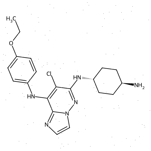 CCOc1ccc(Nc2c(Cl)c(N[C@H]3CC[C@H](N)CC3)nn3ccnc23)cc1